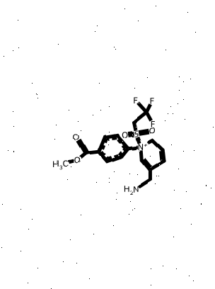 COC(=O)c1ccc([N+]2(S(=O)(=O)CC(F)(F)F)C=C(CN)C=CC2)cc1